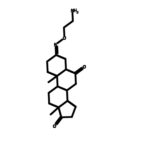 CC12CCC3C(CC(=O)C4CC(=NOCCN)CCC43C)C1CCC2=O